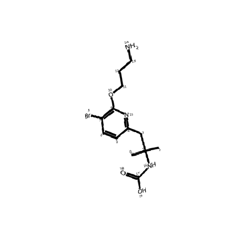 CC(C)(Cc1ccc(Br)c(OCCCN)n1)NC(=O)O